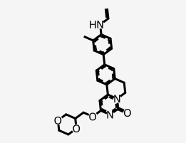 C=CNc1ccc(-c2ccc3c(c2)CCn2c-3cc(OCC3COCCO3)nc2=O)cc1C